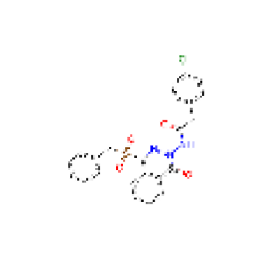 O=C(Cc1ccc(Cl)cc1)Nn1nc(S(=O)(=O)Cc2ccccc2)c2ccccc2c1=O